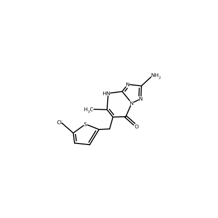 Cc1[nH]c2nc(N)nn2c(=O)c1Cc1ccc(Cl)s1